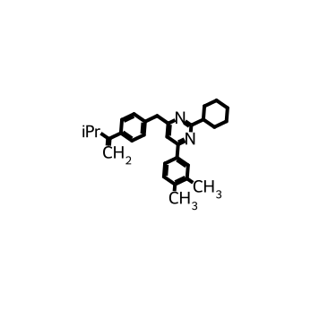 C=C(c1ccc(Cc2cc(-c3ccc(C)c(C)c3)nc(C3CCCCC3)n2)cc1)C(C)C